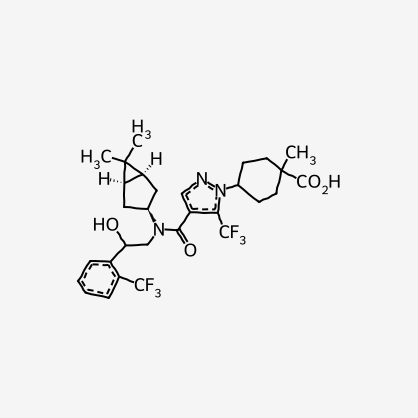 CC1(C(=O)O)CCC(n2ncc(C(=O)N(CC(O)c3ccccc3C(F)(F)F)[C@H]3C[C@@H]4[C@H](C3)C4(C)C)c2C(F)(F)F)CC1